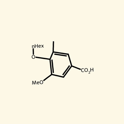 CCCCCCOc1c(C)cc(C(=O)O)cc1OC